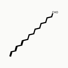 C=CC=CC=CCCCCCCCCCC=O